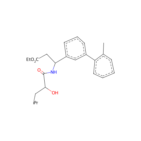 CCOC(=O)CC(NC(=O)C(O)CC(C)C)c1cccc(-c2ccccc2C)c1